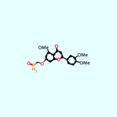 COc1ccc(-c2cc(=O)c3c(OC)cc(OC[PH2]=O)cc3o2)cc1OC